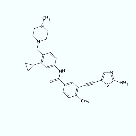 Cc1ccc(C(=O)Nc2ccc(CN3CCN(C)CC3)c(C3CC3)c2)cc1C#Cc1cnc(N)s1